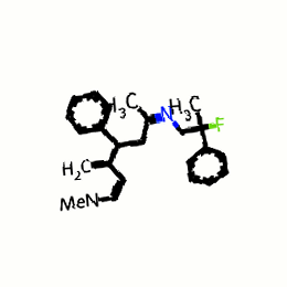 C=C(/C=C\NC)C(C/C(C)=N\CC(C)(F)c1ccccc1)c1ccccc1